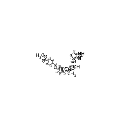 COC(=O)c1ccc(COc2ccc(CC(C)(C)NC[C@H](O)COc3cccc4[nH]nnc34)cc2)cc1